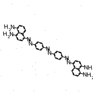 Nc1cccc2c(/N=N/c3ccc(/N=N/c4ccc(/N=N/c5ccc(N)c6c(N)cccc56)cc4)cc3)ccc(N)c12